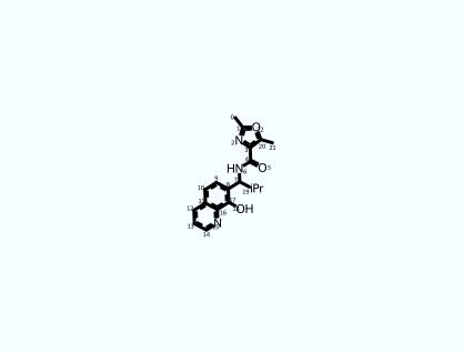 Cc1nc(C(=O)NC(c2ccc3cccnc3c2O)C(C)C)c(C)o1